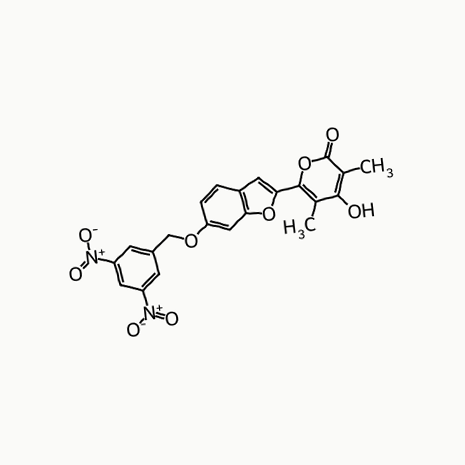 Cc1c(-c2cc3ccc(OCc4cc([N+](=O)[O-])cc([N+](=O)[O-])c4)cc3o2)oc(=O)c(C)c1O